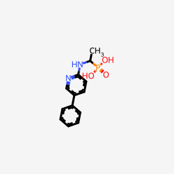 CC(Nc1ccc(-c2ccccc2)cn1)P(=O)(O)O